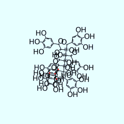 O=C(C(=O)[C@@](O)(C(=O)c1cc(O)c(O)c(O)c1)[C@](O)(C(=O)c1cc(O)c(O)c(O)c1)[C@@](O)(C(=O)c1cc(O)c(O)c(O)c1)[C@@](O)(C(=O)c1cc(O)c(O)c(O)c1)C(O)(C(=O)c1cc(O)c(O)c(O)c1)C(=O)c1cc(O)c(O)c(O)c1)c1cc(O)c(O)c(O)c1